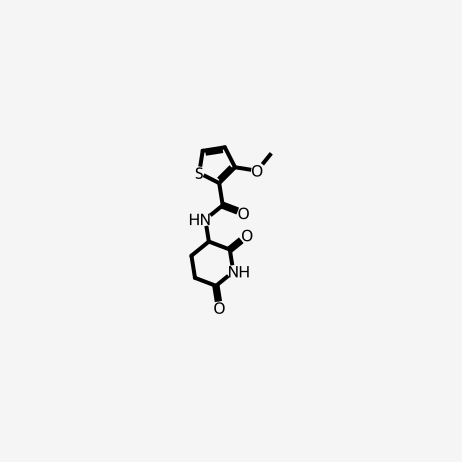 COc1ccsc1C(=O)NC1CCC(=O)NC1=O